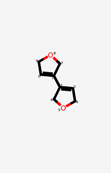 C1=C(C2=CCOC2)COC1